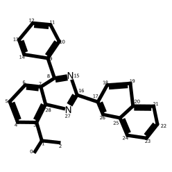 CC(C)c1cccc2c(-c3ccccc3)nc(-c3ccc4ccccc4c3)nc12